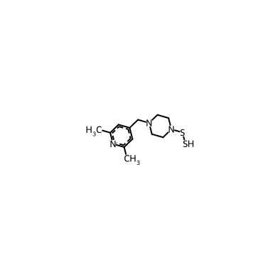 Cc1cc(CN2CCN(SS)CC2)cc(C)n1